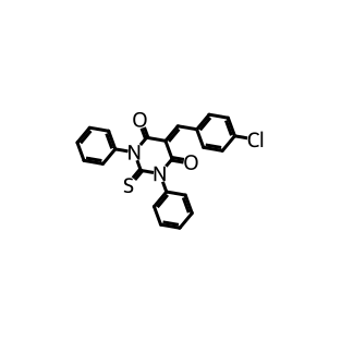 O=C1C(=Cc2ccc(Cl)cc2)C(=O)N(c2ccccc2)C(=S)N1c1ccccc1